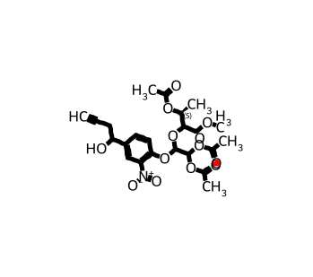 C#CCC(O)c1ccc(OC(OC(C(=O)OC)[C@H](C)OC(C)=O)C(OC(C)=O)OC(C)=O)c([N+](=O)[O-])c1